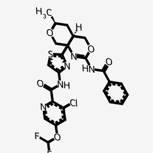 C[C@H]1C[C@H]2COC(NC(=O)c3ccccc3)=NC2(c2nc(NC(=O)c3ncc(OC(F)F)cc3Cl)cs2)CO1